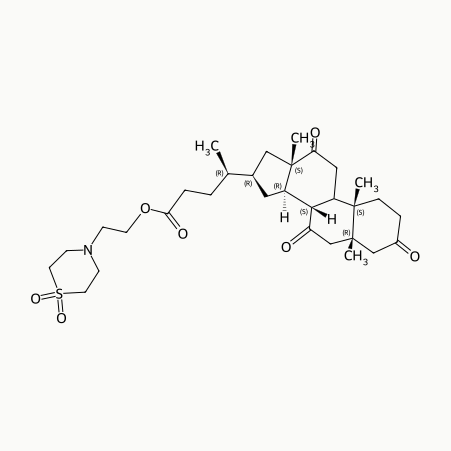 C[C@H](CCC(=O)OCCN1CCS(=O)(=O)CC1)[C@@H]1C[C@@H]2[C@H]3C(=O)C[C@@]4(C)CC(=O)CC[C@@]4(C)C3CC(=O)[C@@]2(C)C1